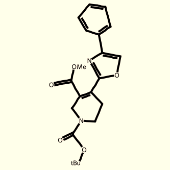 COC(=O)C1=C(c2nc(-c3ccccc3)co2)CCN(C(=O)OC(C)(C)C)C1